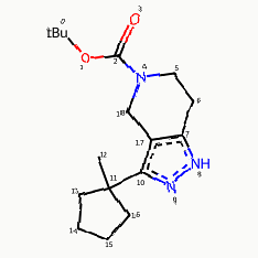 CC(C)(C)OC(=O)N1CCc2[nH]nc(C3(C)CCCC3)c2C1